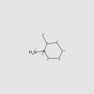 CC1CCCCN1[SiH3]